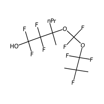 CCCC(C)(OC(F)(F)OC(F)(F)C(C)(C)F)C(F)(F)C(O)(F)F